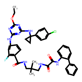 CC(C)(CNC(=O)C(=O)Nc1ccccc1-c1ccccc1)CNC(=O)c1ccc(Nc2nc(NC3(c4ccc(Cl)cc4)CC3)nc(OCC(F)(F)F)n2)cc1F